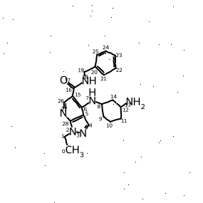 CCn1ncc2c(NC3CCCC(N)C3)c(C(=O)NCc3ccccc3)cnc21